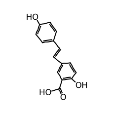 O=C(O)c1cc(C=Cc2ccc(O)cc2)ccc1O